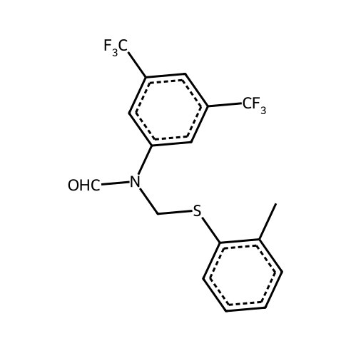 Cc1ccccc1SCN(C=O)c1cc(C(F)(F)F)cc(C(F)(F)F)c1